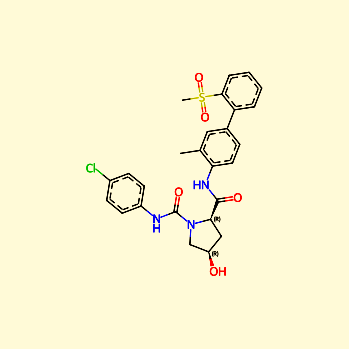 Cc1cc(-c2ccccc2S(C)(=O)=O)ccc1NC(=O)[C@H]1C[C@@H](O)CN1C(=O)Nc1ccc(Cl)cc1